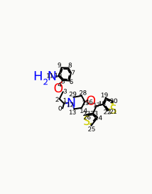 CC(CCOc1ccccc1N)N1CCC(OC(c2ccsc2)c2ccsc2)CC1